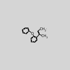 [CH2]C=C(C)c1ccccc1Oc1ccccc1